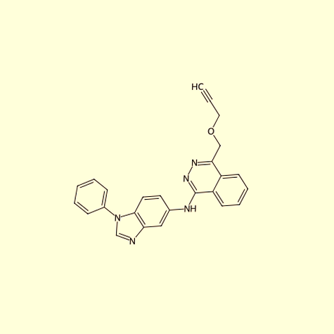 C#CCOCc1nnc(Nc2ccc3c(c2)ncn3-c2ccccc2)c2ccccc12